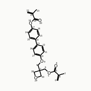 C=C(C)C(=O)OCC1(COc2ccc(-c3ccc(OC(=O)C(=C)C)cc3)cc2)COC1